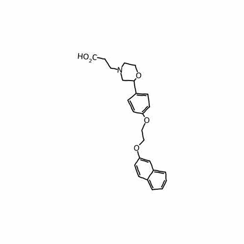 O=C(O)CCN1CCOC(c2ccc(OCCOc3ccc4ccccc4c3)cc2)C1